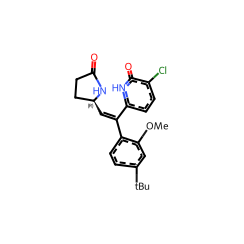 COc1cc(C(C)(C)C)ccc1C(=C[C@H]1CCC(=O)N1)c1ccc(Cl)c(=O)[nH]1